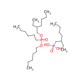 CCCCC(CC)CP(=O)(O)O.CCCCCCOP(=O)(CCCCCC)OCC(CC)CCCC